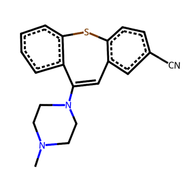 CN1CCN(C2=Cc3cc(C#N)ccc3Sc3ccccc32)CC1